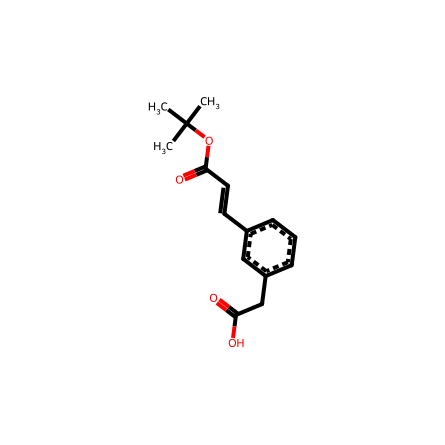 CC(C)(C)OC(=O)C=Cc1cccc(CC(=O)O)c1